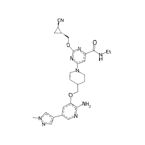 CCNC(=O)c1cc(N2CCC(COc3cc(-c4cnn(C)c4)cnc3N)CC2)nc(OC[C@H]2C[C@H]2C#N)n1